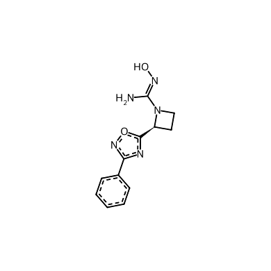 N/C(=N\O)N1CC[C@H]1c1nc(-c2ccccc2)no1